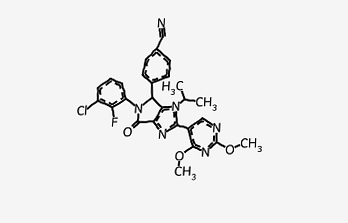 COc1ncc(-c2nc3c(n2C(C)C)C(c2ccc(C#N)cc2)N(c2cccc(Cl)c2F)C3=O)c(OC)n1